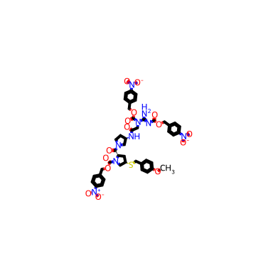 COc1ccc(CS[C@H]2C[C@@H](C(=O)N3CC[C@H](NC(=O)CN(C(=O)OCc4ccc([N+](=O)[O-])cc4)C(N)=NC(=O)OCc4ccc([N+](=O)[O-])cc4)C3)N(C(=O)OCc3ccc([N+](=O)[O-])cc3)C2)cc1